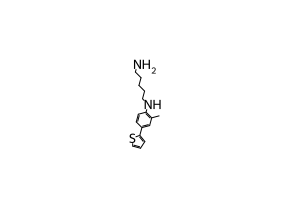 Cc1cc(-c2cccs2)ccc1NCCCCCN